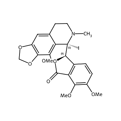 COc1ccc2c(c1OC)C(=O)O[C@H]2[C@@]1(I)c2c(cc3c(c2OC)OCO3)CCN1C